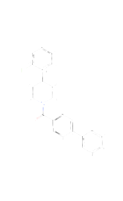 O=C(c1ccc(-c2ccccc2)cc1)N1CCC(c2ccccc2F)CC1